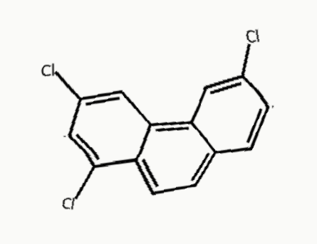 Clc1[c]cc2ccc3c(Cl)[c]c(Cl)cc3c2c1